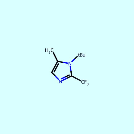 Cc1cnc(C(F)(F)F)n1C(C)(C)C